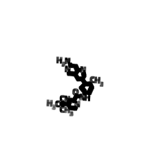 Cc1ccc(NC(=O)c2cc(C(C)(C)C#N)ccn2)cc1-c1cnc2cc(N)ncc2c1